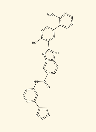 COc1ncccc1-c1ccc(O)c(-c2nc3cc(C(=O)Nc4cccc(-c5cscn5)c4)ccc3[nH]2)c1